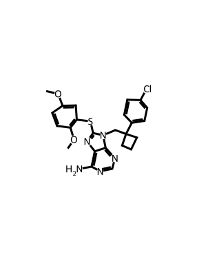 COc1ccc(OC)c(Sc2nc3c(N)ncnc3n2CC2(c3ccc(Cl)cc3)CCC2)c1